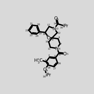 Cc1cc(C(=O)N2CCC3(CC2)CN(C(=O)C(C)C)CC(c2ccccc2)O3)ccc1OC(C)C